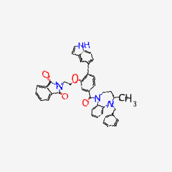 CC1CCN(C(=O)c2ccc(-c3ccc4[nH]ccc4c3)c(OCCN3C(=O)c4ccccc4C3=O)c2)c2ccccc2N1Cc1ccccc1